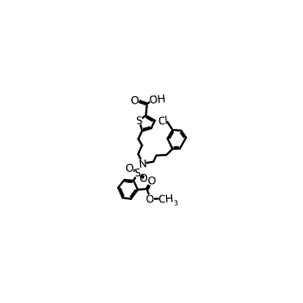 COC(=O)c1ccccc1S(=O)(=O)N(CCCc1cccc(Cl)c1)CCCc1ccc(C(=O)O)s1